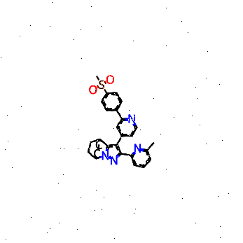 Cc1cccc(-c2nn3c(c2-c2ccnc(-c4ccc(S(C)(=O)=O)cc4)c2)C2CCC3CC2)n1